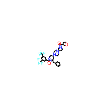 O=C(C1CCOC1)N1CCC(N2CCN(C3CCN(C(=O)c4cc(C(F)(F)F)cc(C(F)(F)F)c4)[C@H](Cc4ccccc4)C3)CC2)C1